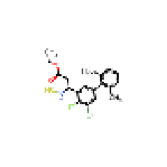 CCOC(=O)CC(NS)c1cc(-c2c(C)cccc2C)cc(Cl)c1F